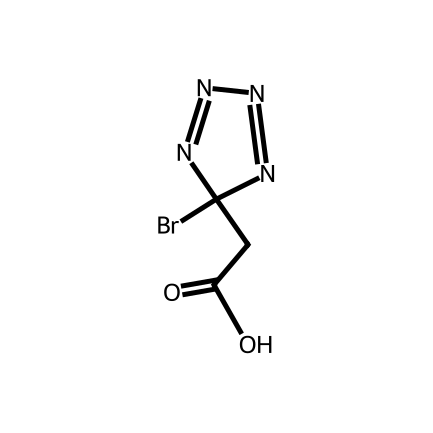 O=C(O)CC1(Br)N=NN=N1